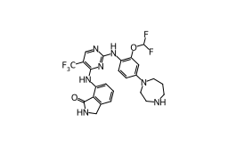 O=C1NCc2cccc(Nc3nc(Nc4ccc(N5CCCNCC5)cc4OC(F)F)ncc3C(F)(F)F)c21